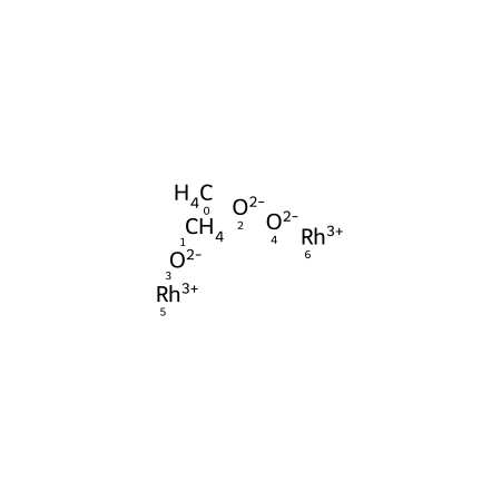 C.C.[O-2].[O-2].[O-2].[Rh+3].[Rh+3]